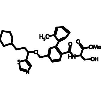 COC(=O)C(CO)NC(=O)c1ccc(COC(CCC2CCCCC2)c2cncs2)cc1-c1ccccc1C